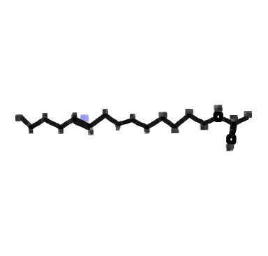 CCCC/C=C/CCCCCCCCOC(C)=O